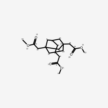 COC(=O)CC12CC3CC(CC(=O)OC)(C1)CC(CC(=O)OC)(C3)C2